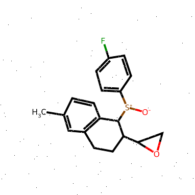 Cc1ccc2c(c1)CCC(C1CO1)C2[S+]([O-])c1ccc(F)cc1